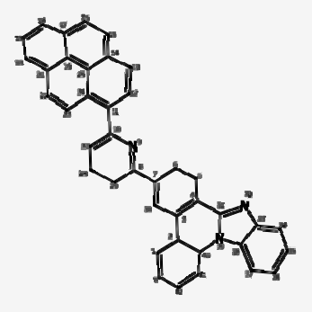 C1=CC2C3=C(CCC(C4=NC(c5ccc6ccc7cccc8ccc5c6c78)=CCC4)=C3)c3nc4ccccc4n3C2C=C1